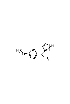 COc1ccc(C(C)c2cc[nH]n2)cc1